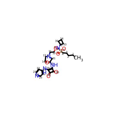 CCCCCS(=O)(=O)N(OCCN1CCOC(Nc2c(Nc3ccncc3)c(=O)c2=O)C1)C1CCC1